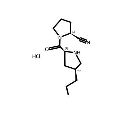 CCC[C@@H]1CN[C@H](C(=O)N2CCC[C@H]2C#N)C1.Cl